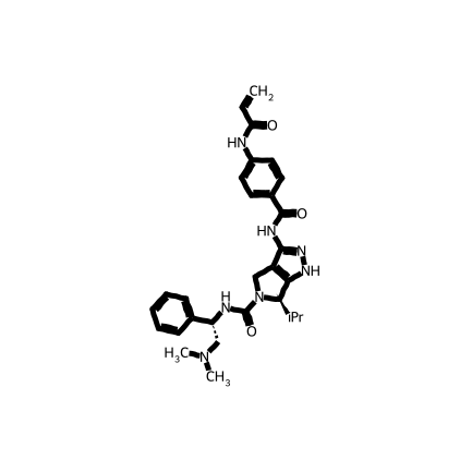 C=CC(=O)Nc1ccc(C(=O)Nc2n[nH]c3c2CN(C(=O)N[C@H](CN(C)C)c2ccccc2)[C@@H]3C(C)C)cc1